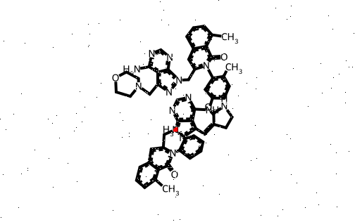 Cc1ccc(Nc2ncnc3c2c(/C=C2/CCNC2=O)nn3Cc2cc3cccc(C)c3c(=O)n2-c2ccccc2C)cc1-n1c(Cn2nc(CN3CCOCC3)c3c(N)ncnc32)cc2cccc(C)c2c1=O